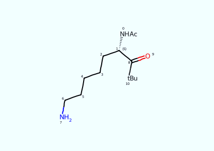 CC(=O)N[C@@H](CCCCCN)C(=O)C(C)(C)C